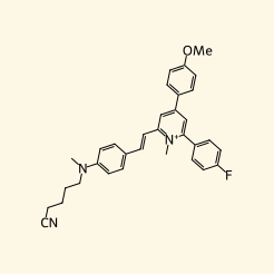 COc1ccc(-c2cc(/C=C/c3ccc(N(C)CCCCC#N)cc3)[n+](C)c(-c3ccc(F)cc3)c2)cc1